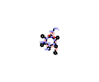 NCCNC(=O)O[C@@H]1C[C@H]2C(=O)N[C@@H](CCc3ccccc3)C(=O)N[C@H](Cc3c[nH]c4ccccc34)C(=O)N[C@@H](CC3CCNCC3)C(=O)N[C@@H](Cc3ccc(OCc4ccccc4)cc3)C(=O)N3Cc4ccccc4C[C@H]3C(=O)N2C1